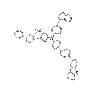 CC1(C)c2cc(-c3ccccc3)ccc2-c2ccc(N(c3ccc(-c4ccc(-c5ccc6sc7ccccc7c6c5)cc4)cc3)c3ccc(-c4cccc5ccccc45)cc3)cc21